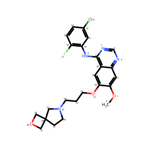 COc1cc2ncnc(Nc3cc(Cl)ccc3F)c2cc1OCCCN1CCC2(COC2)C1